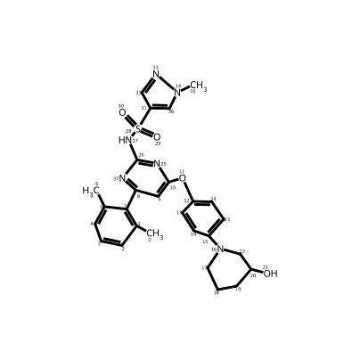 Cc1cccc(C)c1-c1cc(Oc2ccc(N3CCCC(O)C3)cc2)nc(NS(=O)(=O)c2cnn(C)c2)n1